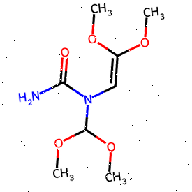 COC(=CN(C(N)=O)C(OC)OC)OC